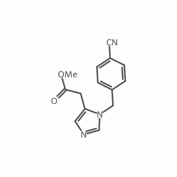 COC(=O)Cc1cncn1Cc1ccc(C#N)cc1